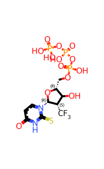 O=c1ccn([C@@H]2O[C@H](COP(=O)(O)OP(=O)(O)OP(=O)(O)O)C(O)[C@@H]2C(F)(F)F)c(=S)[nH]1